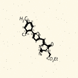 CCOC(=O)CN1C(=O)C(=Cc2ccc(-c3ccc(C)cc3Cl)o2)SC1=S